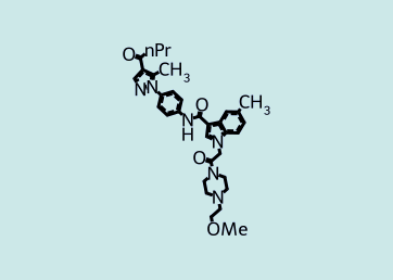 CCCC(=O)c1cnn(-c2ccc(NC(=O)c3cn(CC(=O)N4CCN(CCOC)CC4)c4ccc(C)cc34)cc2)c1C